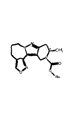 C[C@@H]1Cc2nn3c(c2CN1C(=O)OC(C)(C)C)-c1nocc1CCC3